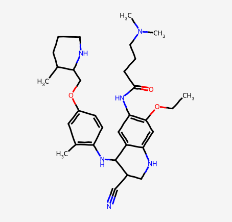 CCOc1cc2c(cc1NC(=O)CCCN(C)C)C(Nc1ccc(OCC3NCCCC3C)cc1C)C(C#N)CN2